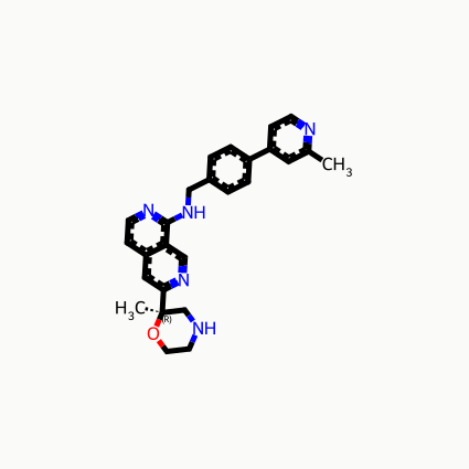 Cc1cc(-c2ccc(CNc3nccc4cc([C@@]5(C)CNCCO5)ncc34)cc2)ccn1